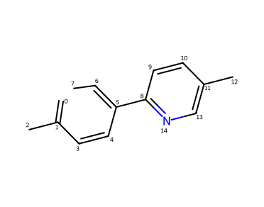 C=C(C)/C=C\C(=C/C)c1ccc(C)cn1